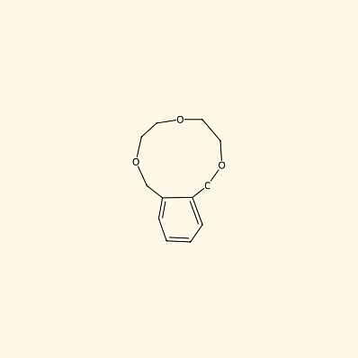 c1ccc2c(c1)COCCOCCOC2